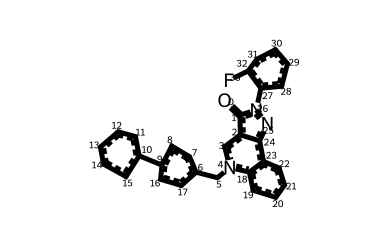 O=c1c2cn(Cc3ccc(-c4ccccc4)cc3)c3ccccc3c-2nn1-c1ccccc1F